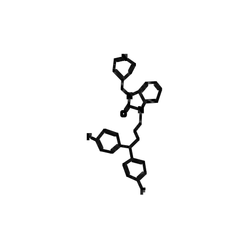 O=c1n(CCCC(c2ccc(F)cc2)c2ccc(F)cc2)c2ccccc2n1Cc1ccncc1